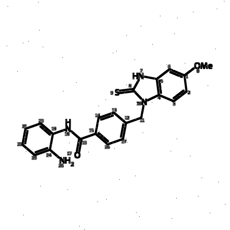 COc1ccc2c(c1)[nH]c(=S)n2Cc1ccc(C(=O)Nc2ccccc2N)cc1